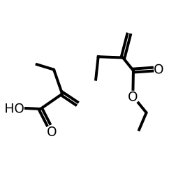 C=C(CC)C(=O)O.C=C(CC)C(=O)OCC